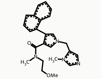 COCCN(C)C(=O)c1cn(Cc2cncn2C)cc1-c1cccc2ccccc12